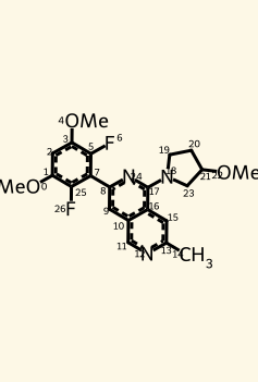 COc1cc(OC)c(F)c(-c2cc3cnc(C)cc3c(N3CCC(OC)C3)n2)c1F